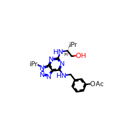 CC(=O)Oc1cccc(CNc2nc(N[C@@H](CO)C(C)C)nc3c2nnn3C(C)C)c1